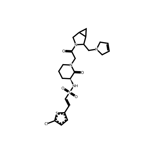 O=C1[C@@H](NS(=O)(=O)/C=C/c2ccc(Cl)s2)CCCN1CC(=O)N1CC2CC2C1CN1CC=CC1